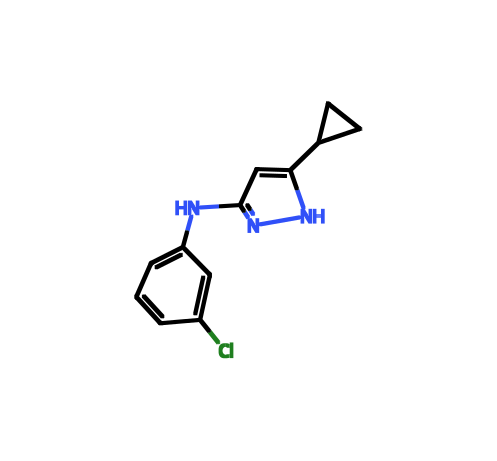 Clc1cccc(Nc2cc(C3CC3)[nH]n2)c1